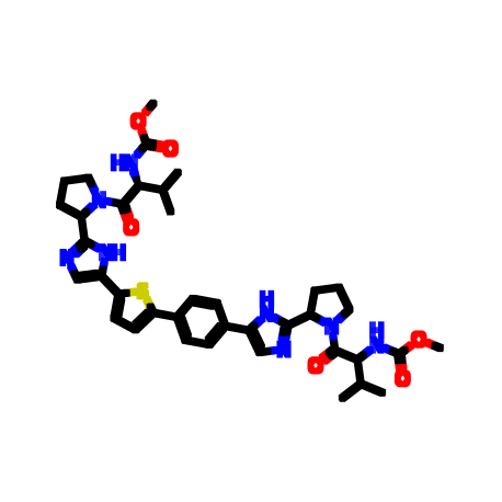 COC(=O)NC(C(=O)N1CCCC1c1ncc(-c2ccc(-c3ccc(-c4cnc(C5CCCN5C(=O)[C@@H](NC(=O)OC)C(C)C)[nH]4)s3)cc2)[nH]1)C(C)C